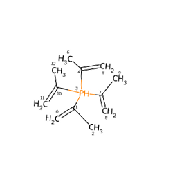 C=C(C)[PH](C(=C)C)(C(=C)C)C(=C)C